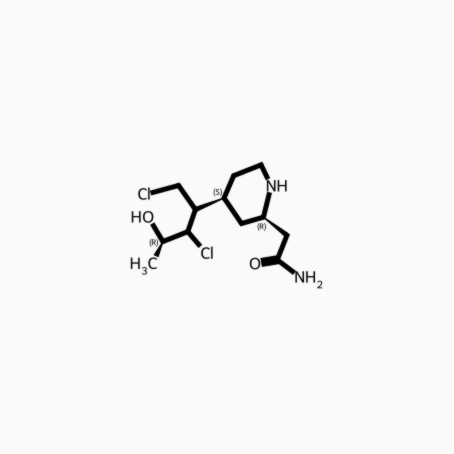 C[C@@H](O)C(Cl)C(CCl)[C@H]1CCN[C@@H](CC(N)=O)C1